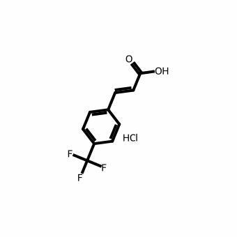 Cl.O=C(O)C=Cc1ccc(C(F)(F)F)cc1